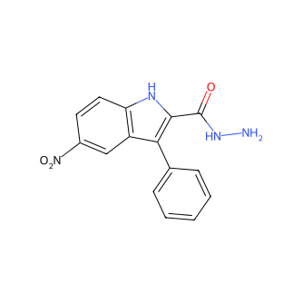 NNC(=O)c1[nH]c2ccc([N+](=O)[O-])cc2c1-c1ccccc1